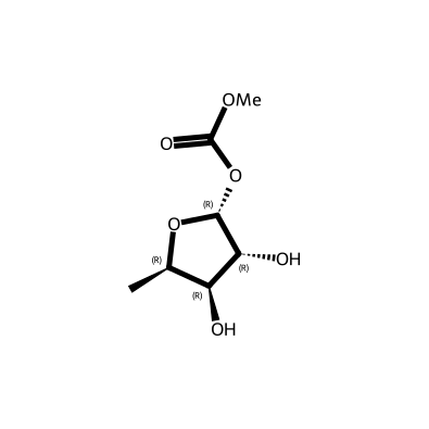 COC(=O)O[C@H]1O[C@H](C)[C@H](O)[C@H]1O